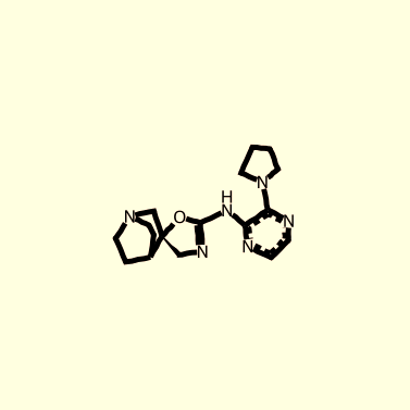 c1cnc(N2CCCC2)c(NC2=NC[C@@]3(CN4CCC3CC4)O2)n1